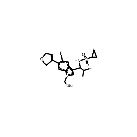 CC(C)(C)Cn1cc(C(NS(=O)(=O)C2CC2)C(F)F)c2cc(F)c(C3=CCOCC3)cc21